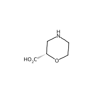 O=C(O)[C@@H]1CNCCO1